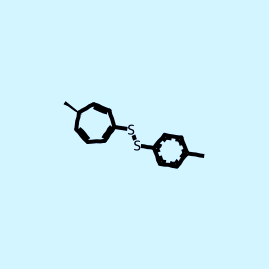 Cc1ccc(SSC2=CC=C[C@@H](C)C=C2)cc1